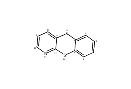 c1ccc2c(c1)Sc1cccnc1S2